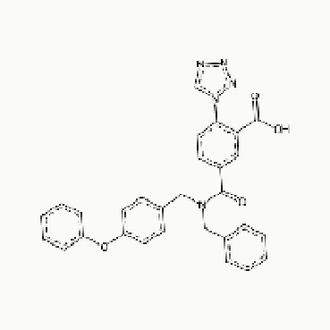 O=C(O)c1cc(C(=O)N(Cc2ccccc2)Cc2ccc(Oc3ccccc3)cc2)ccc1-n1cnnn1